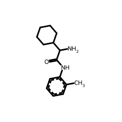 Cc1ccccc1NC(=O)C(N)C1CCCCC1